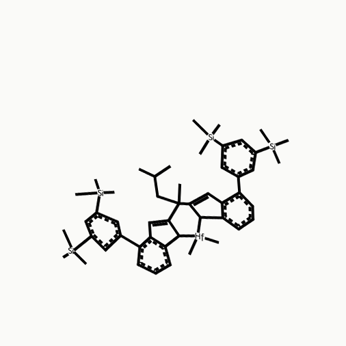 CC(C)CC1(C)C2=Cc3c(-c4cc([Si](C)(C)C)cc([Si](C)(C)C)c4)cccc3[CH]2[Hf]([CH3])([CH3])[CH]2C1=Cc1c(-c3cc([Si](C)(C)C)cc([Si](C)(C)C)c3)cccc12